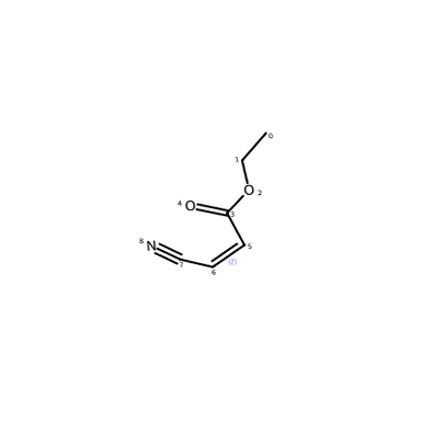 CCOC(=O)/C=C\C#N